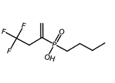 C=C(CC(F)(F)F)P(=O)(O)CCCC